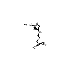 CN(C)CCCNc1cnn(C)c1